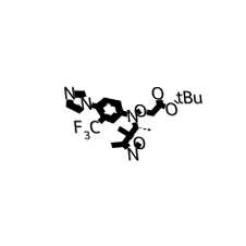 CC1=NOC1(C)[C@@H](C)N(OCC(=O)OC(C)(C)C)c1ccc(-n2ccnc2)c(C(F)(F)F)c1